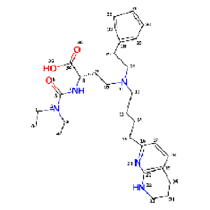 CCN(CC)C(=O)N[C@@H](CCN(CCCCc1ccc2c(n1)NCCC2)CCc1ccccc1)C(=O)O